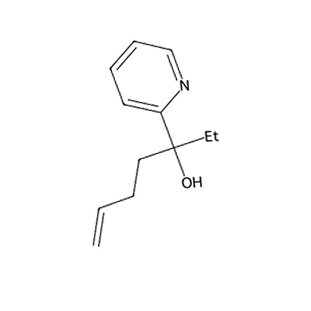 C=CCCC(O)(CC)c1ccccn1